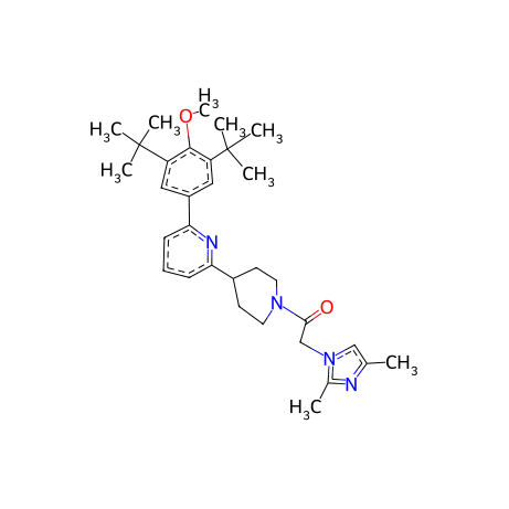 COc1c(C(C)(C)C)cc(-c2cccc(C3CCN(C(=O)Cn4cc(C)nc4C)CC3)n2)cc1C(C)(C)C